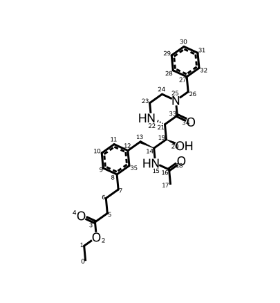 CCOC(=O)CCCc1cccc(C[C@H](NC(C)=O)[C@H](O)[C@@H]2NCCN(Cc3ccccc3)C2=O)c1